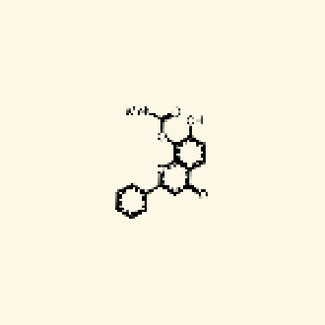 CNC(=O)Oc1c(O)ccc2c(=O)cc(-c3ccccc3)oc12